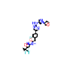 O=C(Cc1ccc(-c2cnc(Nc3cnn(C4CCOC4)c3)nc2)cc1F)Nc1cc(C2(C(F)(F)F)CC2)on1